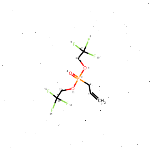 C=CCP(=O)(OCC(F)(F)F)OCC(F)(F)F